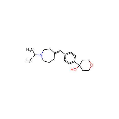 CC(C)N1CCC/C(=C\c2ccc(C3(O)CCOCC3)cc2)CC1